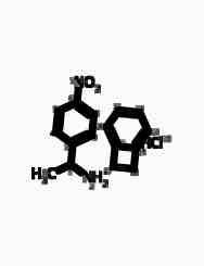 CC(N)c1ccc([N+](=O)[O-])cc1.Cl.c1ccc2c(c1)CC2